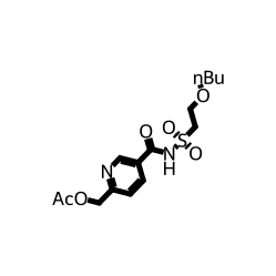 CCCCOCCS(=O)(=O)NC(=O)c1ccc(COC(C)=O)nc1